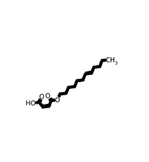 CCCCC=CCCCCCCOC(=O)/C=C\C(=O)O